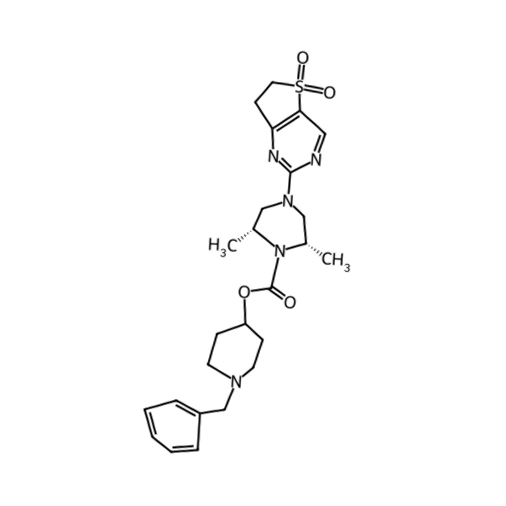 C[C@@H]1CN(c2ncc3c(n2)CCS3(=O)=O)C[C@H](C)N1C(=O)OC1CCN(Cc2ccccc2)CC1